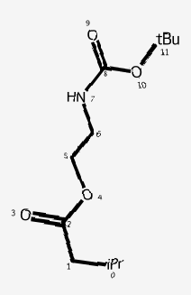 CC(C)CC(=O)OCCNC(=O)OC(C)(C)C